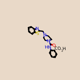 O=C(O)c1ccccc1NC(=O)N1CCN(Cc2nc3ccccc3s2)CC1